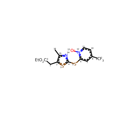 CCOC(=O)Cc1sc(Sc2cc(C(F)(F)F)cc[n+]2[O-])nc1C